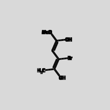 CO/C(O)=C/C(Br)=C(\C)O